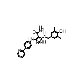 Cc1cc(CNc2[nH]nc(Nc3ccc(-c4ccccn4)cc3)c2C(N)=O)cc(C)c1O